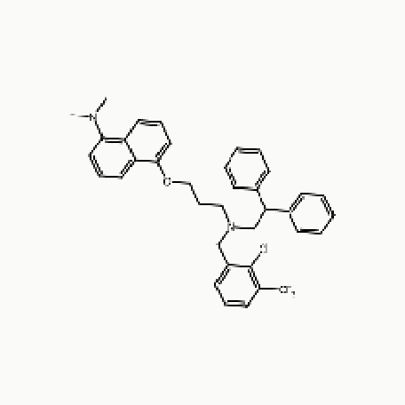 CN(C)c1cccc2c(OCCCN(Cc3cccc(C(F)(F)F)c3Cl)CC(c3ccccc3)c3ccccc3)cccc12